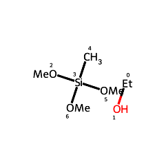 CCO.CO[Si](C)(OC)OC